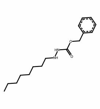 CCCCCCCCNNC(=O)OCc1ccccc1